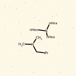 CC(C)CN(C)C.CCCCCCN(CCCCCC)CCCCCC